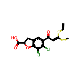 C=CSC(=CC(=O)c1cc2c(c(Cl)c1Cl)OC(C(=O)O)C2)SC